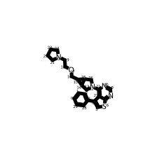 c1ccc(-c2csc3ncnc(N4CC5C(COCCN6CCCC6)C5C4)c23)cc1